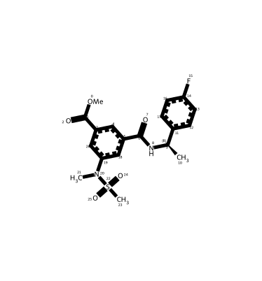 COC(=O)c1cc(C(=O)N[C@H](C)c2ccc(F)cc2)cc(N(C)S(C)(=O)=O)c1